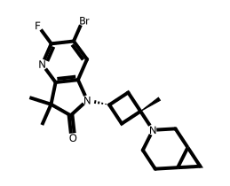 CC1(C)C(=O)N([C@H]2C[C@@](C)(N3CCC4CC4C3)C2)c2cc(Br)c(F)nc21